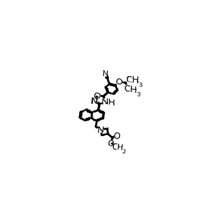 COC(=O)C1CN(Cc2ccc(C3=NOC(c4ccc(OC(C)C)c(C#N)c4)N3)c3ccccc23)C1